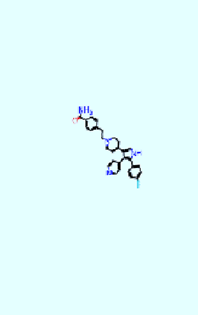 NC(=O)c1ccc(CCN2CC=C(c3c[nH]c(-c4ccc(F)cc4)c3-c3ccncc3)CC2)cc1